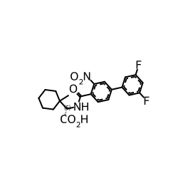 CC1([C@H](NC(=O)c2ccc(-c3cc(F)cc(F)c3)cc2[N+](=O)[O-])C(=O)O)CCCCC1